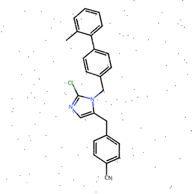 Cc1ccccc1-c1ccc(Cn2c(Cc3ccc(C#N)cc3)cnc2Cl)cc1